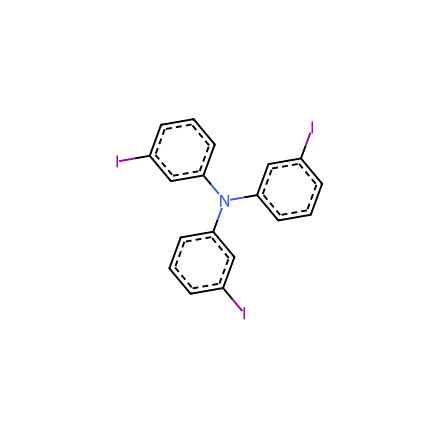 Ic1cccc(N(c2cccc(I)c2)c2cccc(I)c2)c1